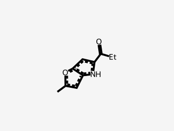 CCC(=O)c1cc2oc(C)cc2[nH]1